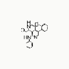 O=CC1NC=Cc2c(-c3ccccc3Cl)cnc(Nc3ccccc3)c21